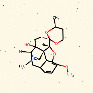 COC1=C2O[C@H]3[C@]4(CCC5(O)[C@H]6CC(C=C1)C2[C@@]35CCN6C)OCC[C@H](C)O4